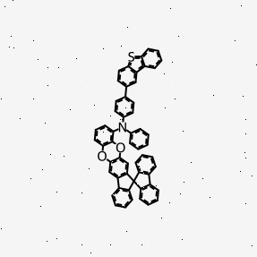 c1ccc(N(c2ccc(-c3ccc4sc5ccccc5c4c3)cc2)c2cccc3c2Oc2cc4c(cc2O3)-c2ccccc2C42c3ccccc3-c3ccccc32)cc1